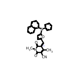 CC1=C(C#N)C(=O)N(C)C(=O)/C1=C\c1ccc(N(c2ccccc2)c2cccc3ccccc23)o1